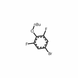 CCCCOc1c(F)cc(Br)cc1F